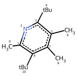 Cc1nc(C(C)(C)C)c(C)c(C)c1C(C)(C)C